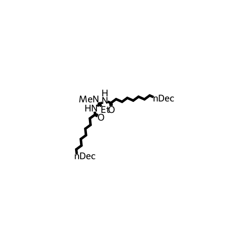 CCCCCCCCCCCCCCCCCC(=O)NC(CC)(NC)NC(=O)CCCCCCCCCCCCCCCCC